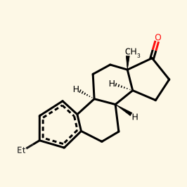 CCc1ccc2c(c1)CC[C@@H]1[C@@H]2CC[C@]2(C)C(=O)CC[C@@H]12